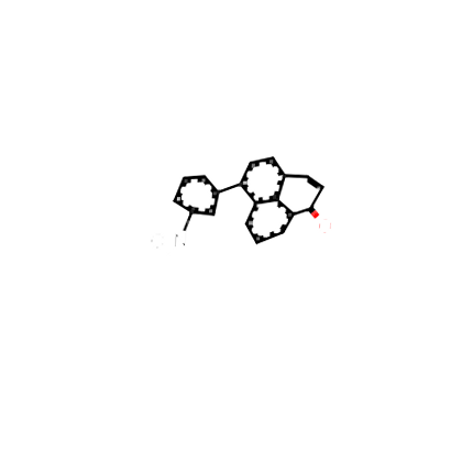 O=C1C=Cc2ccc(-c3cccc([N+](=O)[O-])c3)c3cccc1c23